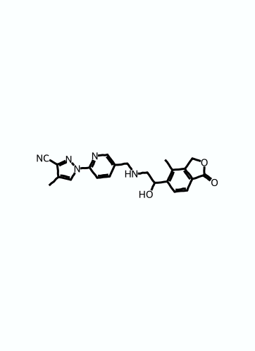 Cc1cn(-c2ccc(CNCC(O)c3ccc4c(c3C)COC4=O)cn2)nc1C#N